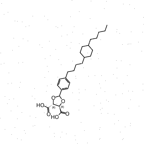 CCCCCC1CCC(CCCCc2ccc(C3O[C@@H](C(=O)O)[C@H](C(=O)O)O3)cc2)CC1